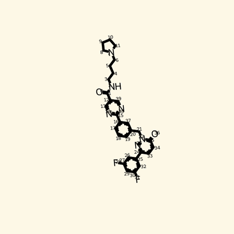 O=C(NCCCCN1CCCC1)c1cnc(-c2cccc(Cn3nc(-c4cc(F)cc(F)c4)ccc3=O)c2)nc1